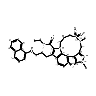 CCOC(=O)c1c(CCCOc2cccc3ccccc23)c2ccc(F)c3c2n1CCCS(=O)(=O)N(C)Cc1nn(C)c(C)c1-3